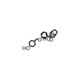 O=C(c1cccc(OCC2CCC(O)CC2)c1)N1C2CCC1CC(O)C2